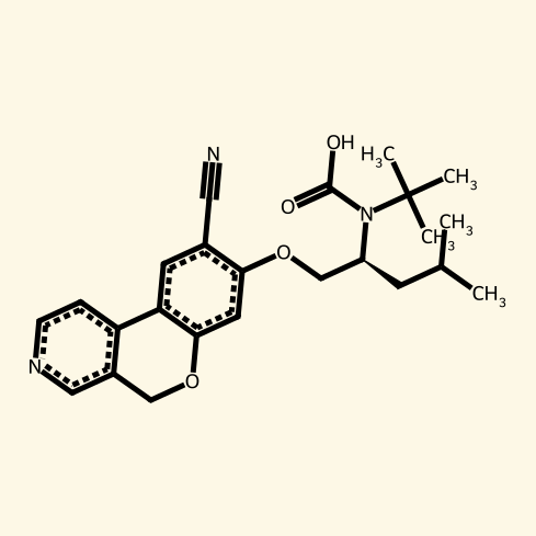 CC(C)C[C@@H](COc1cc2c(cc1C#N)-c1ccncc1CO2)N(C(=O)O)C(C)(C)C